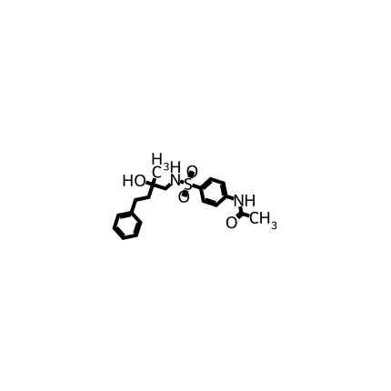 CC(=O)Nc1ccc(S(=O)(=O)NCC(C)(O)CCc2ccccc2)cc1